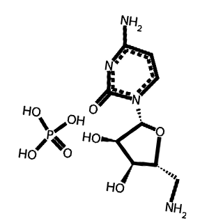 NC[C@H]1O[C@@H](n2ccc(N)nc2=O)[C@H](O)[C@@H]1O.O=P(O)(O)O